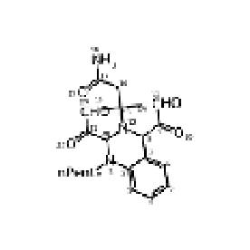 CCCCCN1c2ccccc2C(C(=O)C=O)N(C(C)(C)CC(N)=O)C1C(=O)C=O